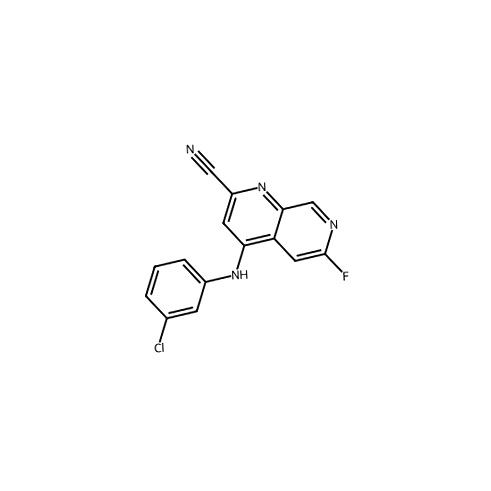 N#Cc1cc(Nc2cccc(Cl)c2)c2cc(F)ncc2n1